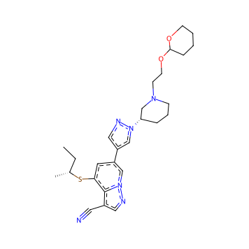 CC[C@@H](C)Sc1cc(-c2cnn([C@H]3CCCN(CCOC4CCCCO4)C3)c2)cn2ncc(C#N)c12